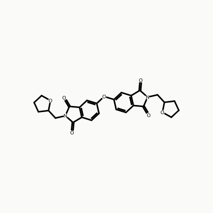 O=C1c2ccc(Oc3ccc4c(c3)C(=O)N(CC3CCCO3)C4=O)cc2C(=O)N1CC1CCCO1